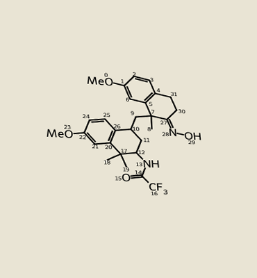 COc1ccc2c(c1)C(C)(CC1CC(NC(=O)C(F)(F)F)C(C)(C)c3cc(OC)ccc31)/C(=N/O)CC2